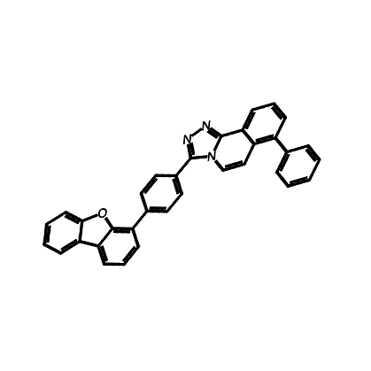 c1ccc(-c2cccc3c2ccn2c(-c4ccc(-c5cccc6c5oc5ccccc56)cc4)nnc32)cc1